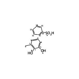 Cc1cccc(O)c1O.O=S(=O)(O)c1ccccc1